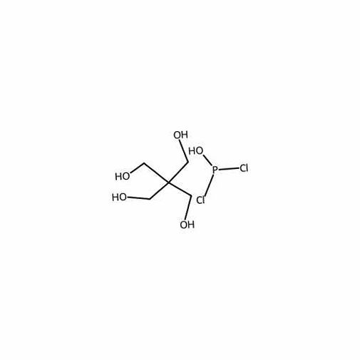 OCC(CO)(CO)CO.OP(Cl)Cl